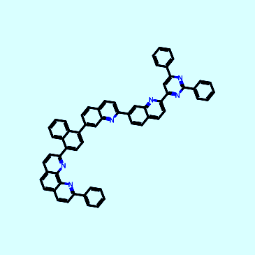 c1ccc(-c2cc(-c3ccc4ccc(-c5ccc6ccc(-c7ccc(-c8ccc9ccc%10ccc(-c%11ccccc%11)nc%10c9n8)c8ccccc78)cc6n5)cc4n3)nc(-c3ccccc3)n2)cc1